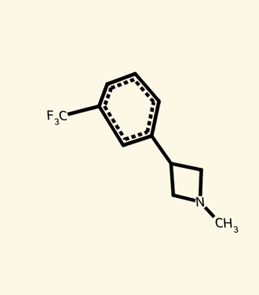 CN1CC(c2cccc(C(F)(F)F)c2)C1